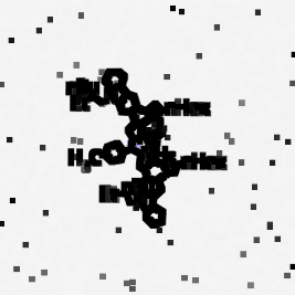 CCCCCCc1cc2c(s1)c1c(c3cc4c(cc32)c2ccccc2n4CC(CC)CCCC)=C/C(=C(\c2ccc(C)cc2)c2cc3c4cc5c(cc4c4cc(CCCCCC)sc4c3[nH]2)c2ccccc2n5CC(CC)CCCC)[N+]=1B(F)F